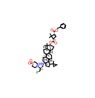 CC1(C2CC[C@]3(NC[C@@H](CF)N4CCS(=O)(=O)CC4)CC[C@]4(C)[C@H](CC[C@@H]5[C@@]6(C)CC[C@H](OC(=O)[C@H]7C[C@@H](C(=O)OCc8ccccc8)C7(C)C)C(C)(C)[C@@H]6CC[C@]54C)[C@@H]23)CC1